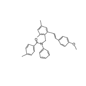 COc1ccc(C=Cc2cc(C)cc(C)c2CN(C(=O)c2ccc(C)cc2)c2ccccc2)cc1